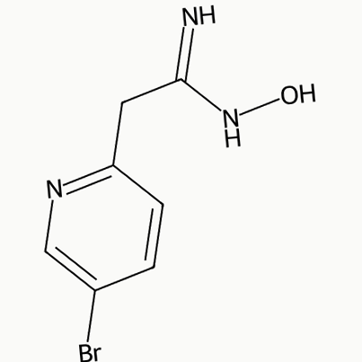 N=C(Cc1ccc(Br)cn1)NO